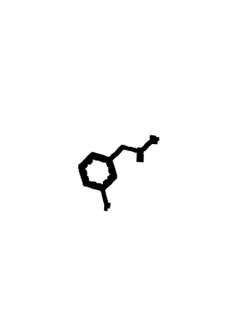 Fc1cccc(CPBr)c1